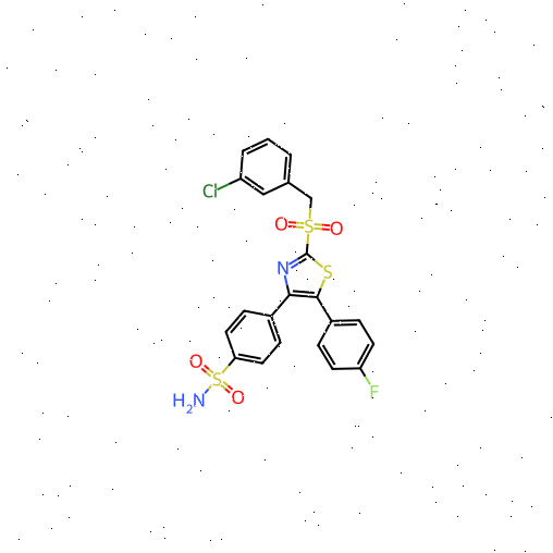 NS(=O)(=O)c1ccc(-c2nc(S(=O)(=O)Cc3cccc(Cl)c3)sc2-c2ccc(F)cc2)cc1